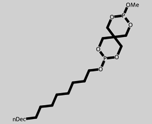 CCCCCCCCCCCCCCCCCCOP1OCC2(COP(OC)OC2)CO1